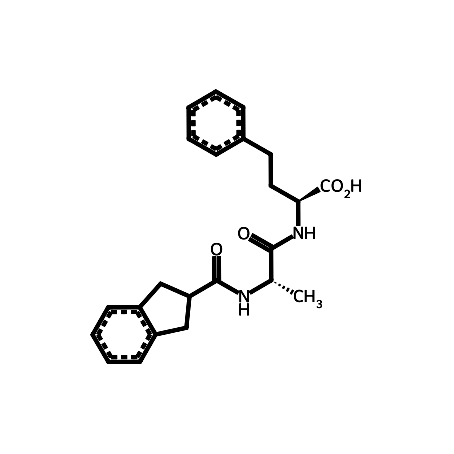 C[C@H](NC(=O)C1Cc2ccccc2C1)C(=O)N[C@@H](CCc1ccccc1)C(=O)O